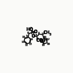 CC(CC(OP(=O)(O)Cc1ccccc1)C(=O)O)C1CCCO1